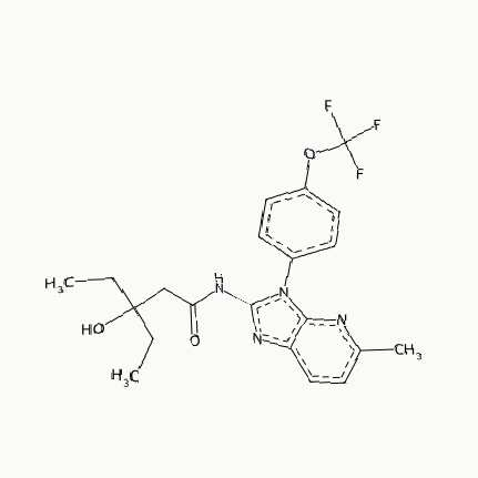 CCC(O)(CC)CC(=O)Nc1nc2ccc(C)nc2n1-c1ccc(OC(F)(F)F)cc1